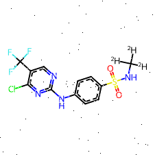 [2H]C([2H])([2H])NS(=O)(=O)c1ccc(Nc2ncc(C(F)(F)F)c(Cl)n2)cc1